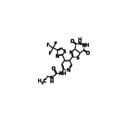 CCNC(=O)Nc1cc(-c2nc(C(F)(F)F)cs2)c(C2=NC3C(=O)NNC(=O)C3S2)cn1